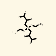 CCO[Si](CC(F)C(F)F)(CC(F)C(F)F)OCC